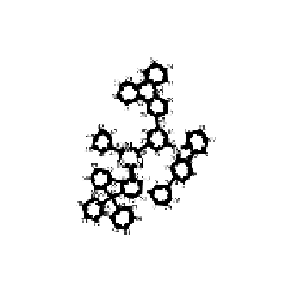 c1ccc(-c2ccc3c4ccccc4n(-c4cc(-c5ccc6c7ccccc7c7ccccc7c6c5)cc(-c5nc(-c6ccccc6)nc(-c6cccc7c6-c6ccccc6C7(c6ccccc6)c6ccccc6)n5)c4)c3c2)cc1